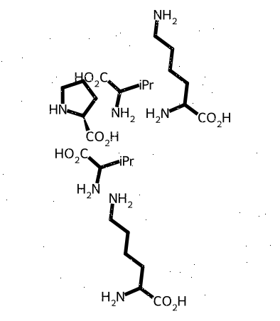 CC(C)C(N)C(=O)O.CC(C)C(N)C(=O)O.NCCCCC(N)C(=O)O.NCCCCC(N)C(=O)O.O=C(O)[C@@H]1CCCN1